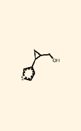 OCC1CC1c1ccsc1